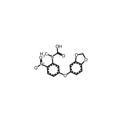 CN(C(=O)O)c1cc(Oc2ccc3c(c2)OCO3)ccc1[N+](=O)[O-]